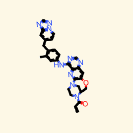 C=CC(=O)N1CCN2CC1COc1cc3ncnc(Nc4ccc(Cc5ccn6ncnc6c5)c(C)c4)c3nc12